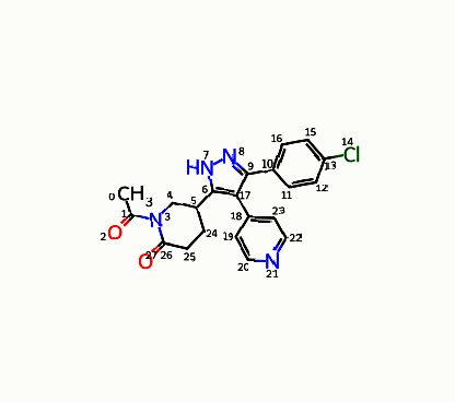 CC(=O)N1CC(c2[nH]nc(-c3ccc(Cl)cc3)c2-c2ccncc2)CCC1=O